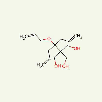 C=CCOC(CC=C)(CC=C)C(CO)(CO)CO